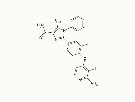 NC(=O)c1nc(-c2ccc(Oc3ccnc(N)c3I)c(F)c2)n(-c2ccccc2)c1C(F)(F)F